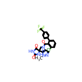 Cn1nccc1C1(CNC(=O)c2c(Cl)cccc2-c2ccc(C(F)(F)F)cc2)NC(=O)NC1=O